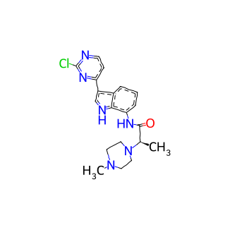 C[C@H](C(=O)Nc1cccc2c(-c3ccnc(Cl)n3)c[nH]c12)N1CCN(C)CC1